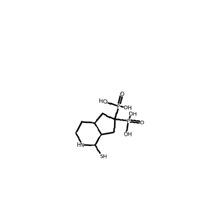 O=P(O)(O)C1(P(=O)(O)O)CC2CCNC(S)C2C1